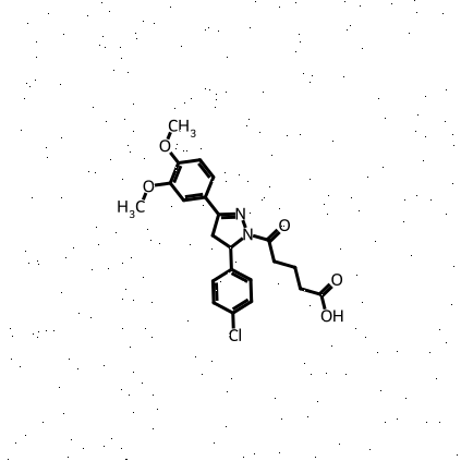 COc1ccc(C2=NN(C(=O)CCCC(=O)O)C(c3ccc(Cl)cc3)C2)cc1OC